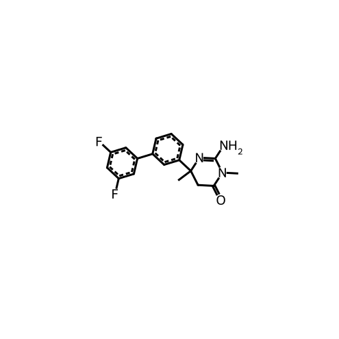 CN1C(=O)CC(C)(c2cccc(-c3cc(F)cc(F)c3)c2)N=C1N